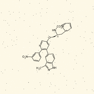 Cc1n[nH]c2ccc(-c3cc(OC[C@H](Cc4ccccc4)NC(=O)O)cnc3-c3cccc([N+](=O)[O-])c3)cc12